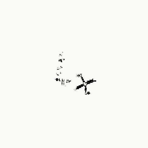 N.N.O=S(=O)(O)O.[Al+3].[Al+3].[O-2].[O-2].[O-2]